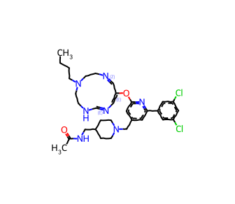 CCCCN1CC\N=C/C(Oc2cc(CN3CCC(CNC(C)=O)CC3)cc(-c3cc(Cl)cc(Cl)c3)n2)=C\N=C\NCC1